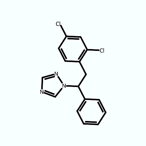 Clc1ccc(CC(c2ccccc2)n2cncn2)c(Cl)c1